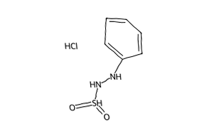 Cl.O=[SH](=O)NNc1ccccc1